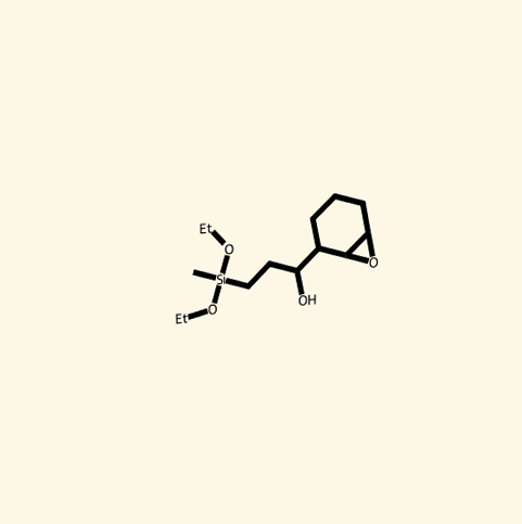 CCO[Si](C)(CCC(O)C1CCCC2OC21)OCC